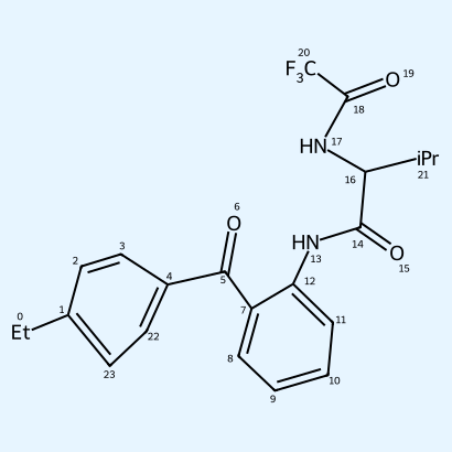 CCc1ccc(C(=O)c2ccccc2NC(=O)C(NC(=O)C(F)(F)F)C(C)C)cc1